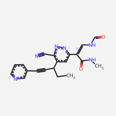 CCC(C#Cc1cccnc1)c1cc(/C(=C/NC=O)C(=O)NC)nnc1C#N